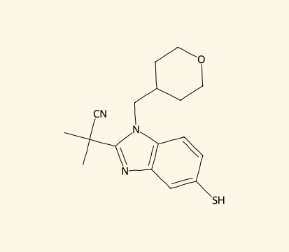 CC(C)(C#N)c1nc2cc(S)ccc2n1CC1CCOCC1